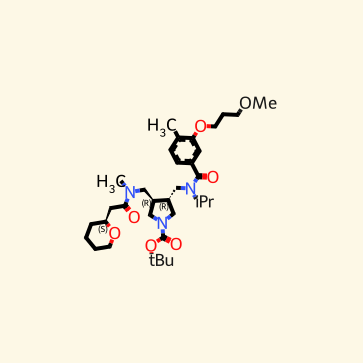 COCCCOc1cc(C(=O)N(C[C@@H]2CN(C(=O)OC(C)(C)C)C[C@H]2CN(C)C(=O)C[C@@H]2CCCCO2)C(C)C)ccc1C